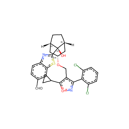 O=Cc1ccc2nc([C@@]3(O)[C@@H]4CC[C@H]3C[C@@H](OCc3c(-c5c(Cl)cccc5Cl)noc3C3CC3)C4)sc2c1